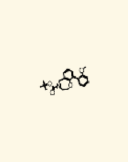 COc1ccccc1-c1cccc2c1OCCN(C(=O)OC(C)(C)C)C2